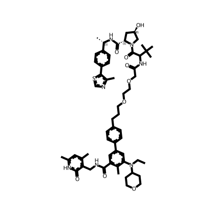 CCN(c1cc(-c2ccc(CCCOCCOCC(=O)NC(C(=O)N3C[C@H](O)C[C@H]3C(=O)N[C@@H](C)c3ccc(-c4scnc4C)cc3)C(C)(C)C)cc2)cc(C(=O)NCc2c(C)cc(C)[nH]c2=O)c1C)C1CCOCC1